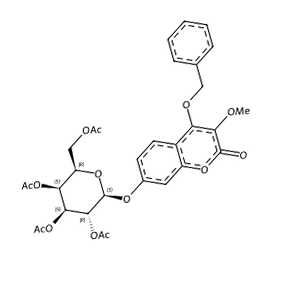 COc1c(OCc2ccccc2)c2ccc(O[C@@H]3O[C@H](COC(C)=O)[C@H](OC(C)=O)[C@H](OC(C)=O)[C@H]3OC(C)=O)cc2oc1=O